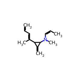 C=C/C=C(\C)C1C(=C)C1N(C)/C=C\C